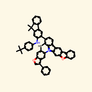 CC(C)(C)c1ccc(Nc2cc3c(cc2-c2ccc4c5cc6c(cc5n5c4c2Bc2cc4occ(-c7ccccc7)c4cc2-5)oc2ccccc26)-c2ccccc2C3(C)C)cc1